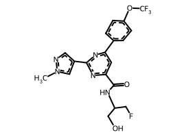 Cn1cc(-c2nc(C(=O)NC(CO)CF)cc(-c3ccc(OC(F)(F)F)cc3)n2)cn1